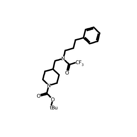 CC(C)(C)OC(=O)N1CCC(CN(CCCc2ccccc2)C(=O)C(F)(F)F)CC1